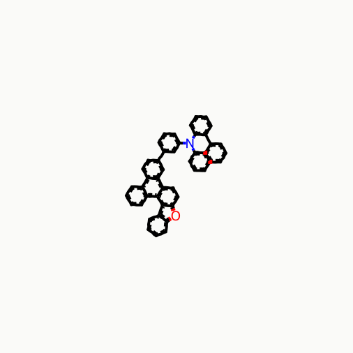 c1ccc(-c2ccccc2N(c2ccccc2)c2cccc(-c3ccc4c5ccccc5c5c(ccc6oc7ccccc7c65)c4c3)c2)cc1